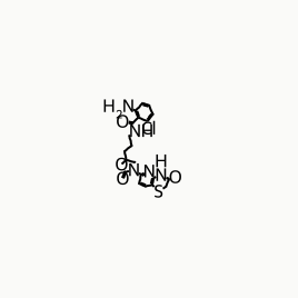 Nc1cccc(Cl)c1C(=O)NCCCC1CN(c2ccc3c(n2)NC(=O)CS3)C(=O)O1